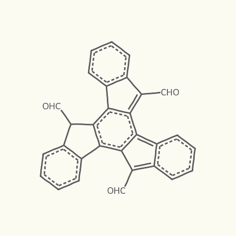 O=CC1=c2ccccc2=c2c1c1c(c3c2=C(C=O)c2ccccc2-3)C(C=O)c2ccccc2-1